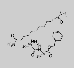 CC(C)[C@H](N)C(=O)N[C@H](C(=O)OCc1ccccc1)C(C)C.NC(=O)CCCCCCCCCCC(N)=O